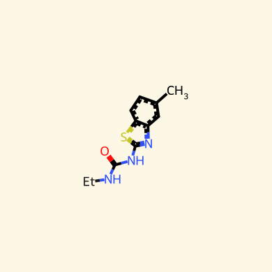 CCNC(=O)Nc1nc2cc(C)ccc2s1